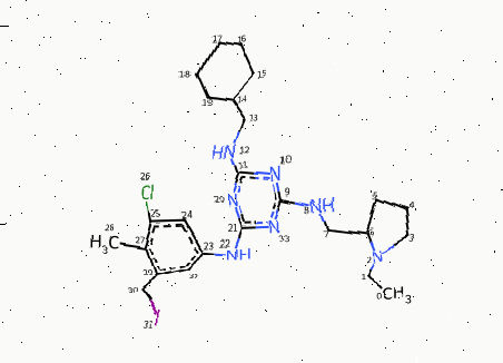 CCN1CCCC1CNc1nc(NCC2CCCCC2)nc(Nc2cc(Cl)c(C)c(CI)c2)n1